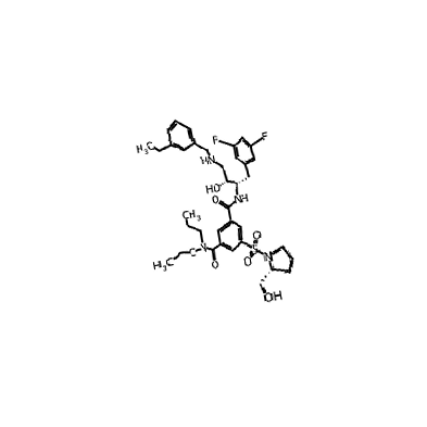 CCCN(CCC)C(=O)c1cc(C(=O)N[C@@H](Cc2cc(F)cc(F)c2)[C@H](O)CNCc2cccc(CC)c2)cc(S(=O)(=O)N2CCC[C@@H]2CO)c1